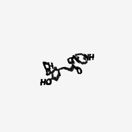 COc1cc(C=CC(=O)ON2CCNCC2)ccc1O